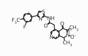 CC1C(=O)c2c(CC(=O)Nc3nc(-c4ccc(C(F)(F)F)c(F)c4)cs3)cncc2C(C)[NH+]1[O-]